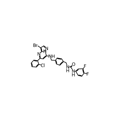 O=C(NCc1ccc(CNc2cc(-c3ccccc3Cl)nc3c(Br)cnn23)cc1)Nc1ccc(F)c(F)c1